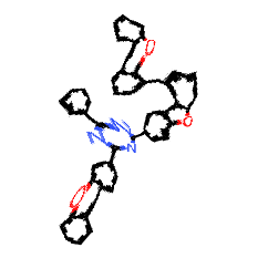 c1ccc(-c2nc(-c3ccc4c(c3)oc3ccccc34)nc(-c3ccc4oc5cccc(-c6cccc7c6oc6ccccc67)c5c4c3)n2)cc1